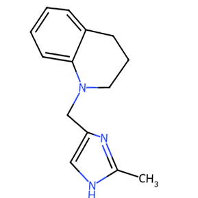 Cc1nc(CN2CCCc3ccccc32)c[nH]1